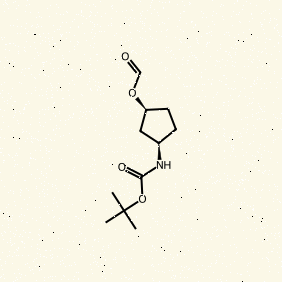 CC(C)(C)OC(=O)N[C@@H]1CC[C@H](OC=O)C1